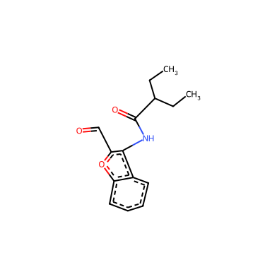 CCC(CC)C(=O)Nc1c(C=O)oc2ccccc12